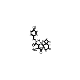 O=C(NCc1ccc(Cl)cc1)c1nc2n(c(=O)c1O)CCCC21CCC1